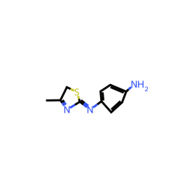 CC1=NC(=Nc2ccc(N)cc2)SC1